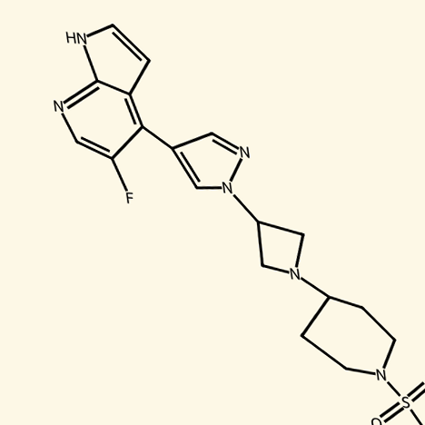 CS(=O)(=O)N1CCC(N2CC(n3cc(-c4c(F)cnc5[nH]ccc45)cn3)C2)CC1